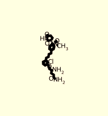 Cn1c(=O)n(C2CCC(=O)NC2=O)c2ccc(CCCCc3cccc(OC[C@@H](N)CCC(N)=O)c3Cl)cc21